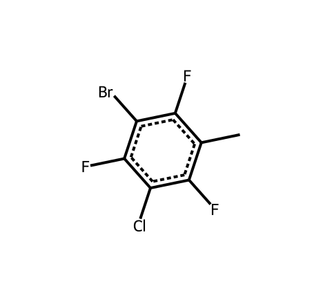 Cc1c(F)c(Cl)c(F)c(Br)c1F